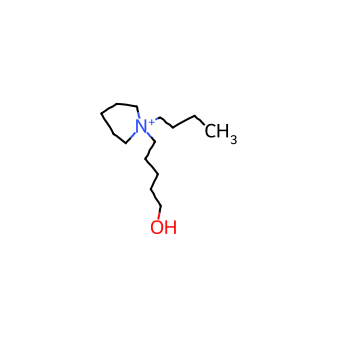 CCCC[N+]1(CCCCCO)CCCCC1